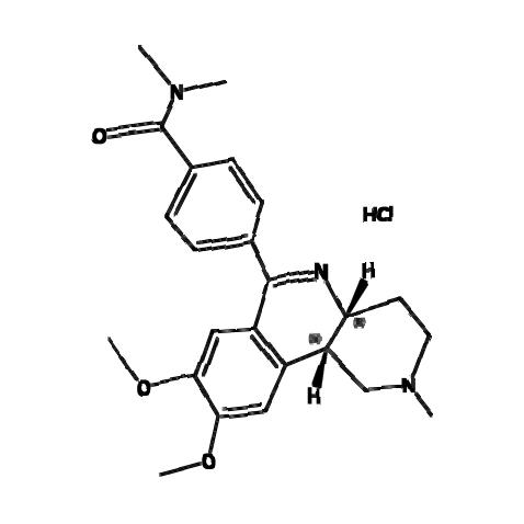 COc1cc2c(cc1OC)[C@H]1CN(C)CC[C@H]1N=C2c1ccc(C(=O)N(C)C)cc1.Cl